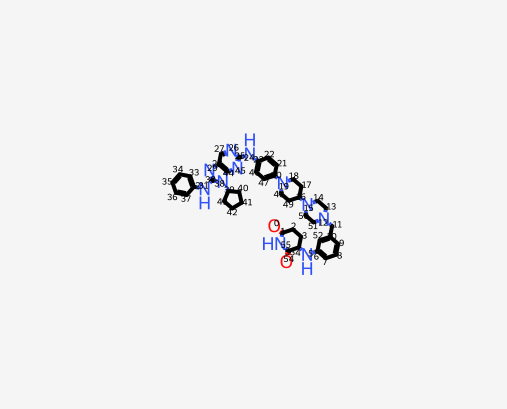 O=C1CCC(Nc2cccc(CN3CCN(C4CCN(c5ccc(Nc6ncc7nc(Nc8ccccc8)n(C8CCCC8)c7n6)cc5)CC4)CC3)c2)C(=O)N1